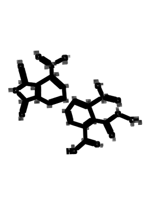 COC(=O)c1c(C(=O)O)cccc1[N+](=O)[O-].O=C1OC(=O)c2c1cccc2[N+](=O)[O-]